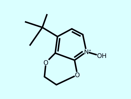 CC(C)(C)c1cc[n+](O)c2c1OCCO2